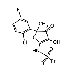 CCS(=O)(=O)NC1=C(O)C(=O)C(C)(c2cc(F)ccc2Cl)O1